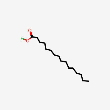 CCCCCCCCCCCCCCCC(=O)OF